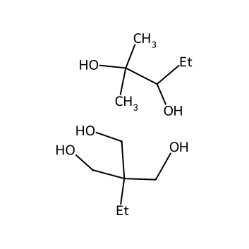 CCC(CO)(CO)CO.CCC(O)C(C)(C)O